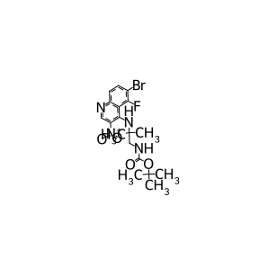 CC(C)(CNC(=O)OC(C)(C)C)Nc1c([N+](=O)[O-])cnc2ccc(Br)c(F)c12